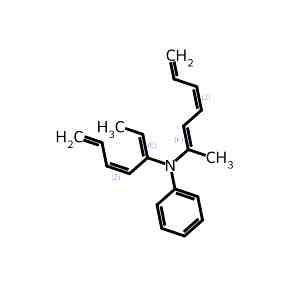 C=C/C=C\C=C(/C)N(C(/C=C\C=C)=C/C)c1ccccc1